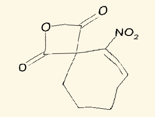 O=C1OC(=O)C12CCCC=C2[N+](=O)[O-]